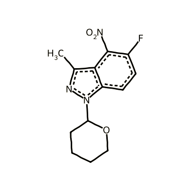 Cc1nn(C2CCCCO2)c2ccc(F)c([N+](=O)[O-])c12